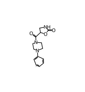 O=C1NCC(C(=O)N2CCN(c3c[c]ccc3)CC2)O1